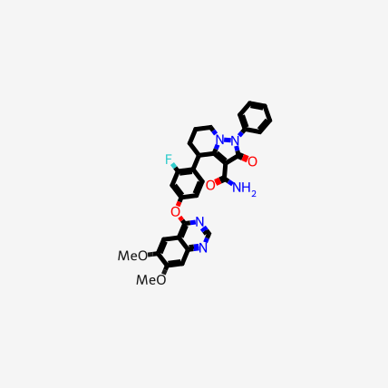 COc1cc2ncnc(Oc3ccc(C4CCCn5c4c(C(N)=O)c(=O)n5-c4ccccc4)c(F)c3)c2cc1OC